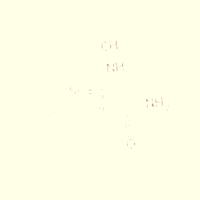 CNc1sc2c(c1C(N)=O)CCCCC2